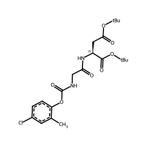 Cc1cc(Cl)ccc1OC(=O)NCC(=O)N[C@@H](CC(=O)OC(C)(C)C)C(=O)OC(C)(C)C